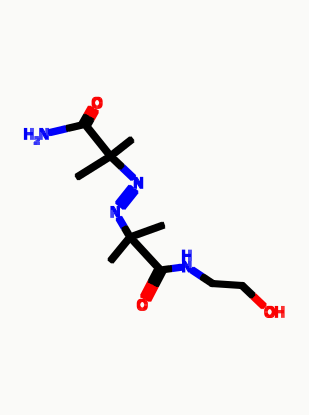 CC(C)(N=NC(C)(C)C(=O)NCCO)C(N)=O